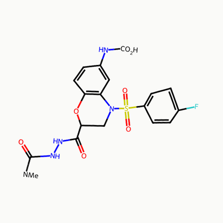 CNC(=O)NNC(=O)C1CN(S(=O)(=O)c2ccc(F)cc2)c2cc(NC(=O)O)ccc2O1